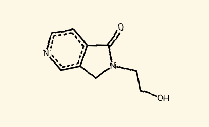 O=C1c2ccncc2CN1CCO